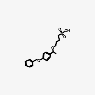 CC(OCCCCS(=O)(=O)O)c1ccc(OCc2ccccc2)cc1